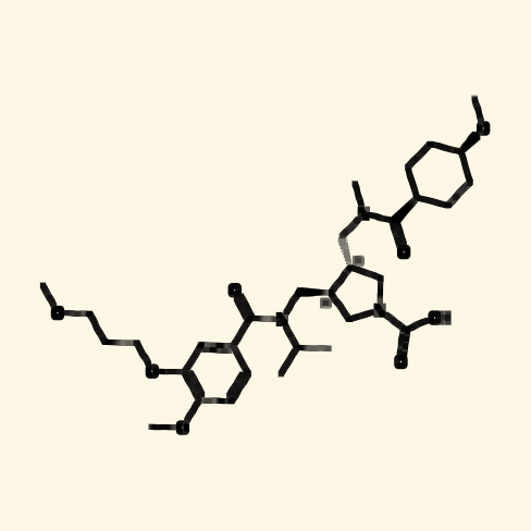 COCCCOc1cc(C(=O)N(C[C@@H]2CN(C(=O)O)C[C@H]2CN(C)C(=O)[C@H]2CC[C@@H](OC)CC2)C(C)C)ccc1OC